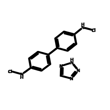 ClNc1ccc(-c2ccc(NCl)cc2)cc1.c1nn[nH]n1